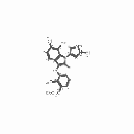 CCOC(=O)c1cccc(Sc2c(C)n(-c3cnn(CC)c3)c3c(F)c(Cl)ccc23)c1F